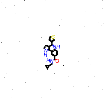 O=C(NCC1CC1)c1ccc2c(c1)C1NCCC1C(c1ccsc1)N2